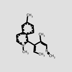 C=N/C=C(C)\C(=C/C)c1c2ccc(C)cc2cc[n+]1C